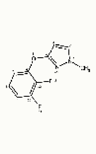 Cn1[c]cc(Oc2cccc(F)c2F)n1